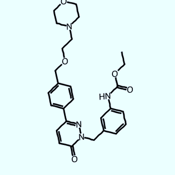 CCOC(=O)Nc1cccc(Cn2nc(-c3ccc(COCCN4CCOCC4)cc3)ccc2=O)c1